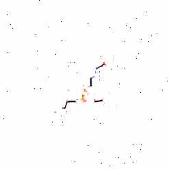 COCC(COP(=O)(OCCNCC(=O)O)OCC(=O)O)OC